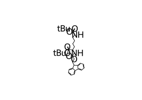 CC(C)(C)OC(=O)NCCCCC(NC(=O)OCC1c2ccccc2-c2ccccc21)C(=O)OC(C)(C)C